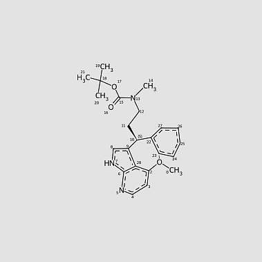 COc1ccnc2[nH]cc([C@@H](CCN(C)C(=O)OC(C)(C)C)c3ccccc3)c12